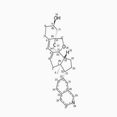 C[C@]12CC=C3C=C4CC[C@@H](O)C[C@]45CC[C@]3(OC5)[C@@H]1CC[C@@H]2c1ccc2ccncc2c1